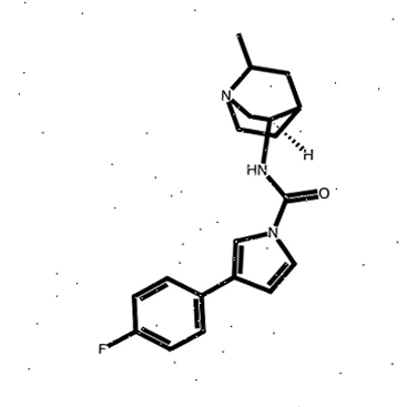 CC1CC2CCN1C[C@@H]2NC(=O)n1ccc(-c2ccc(F)cc2)c1